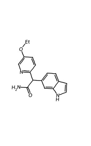 CCOc1ccc(C(C(N)=O)c2ccc3cc[nH]c3c2)nc1